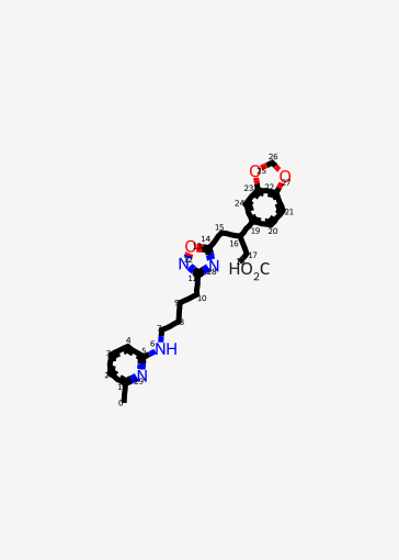 Cc1cccc(NCCCCc2noc(CC(CC(=O)O)c3ccc4c(c3)OCO4)n2)n1